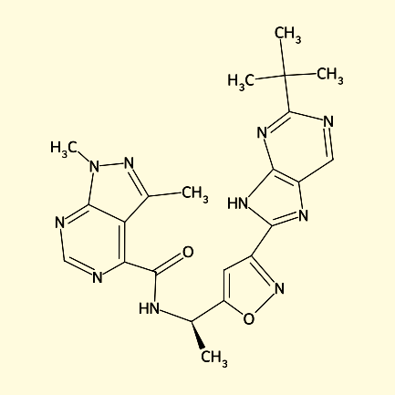 Cc1nn(C)c2ncnc(C(=O)N[C@H](C)c3cc(-c4nc5cnc(C(C)(C)C)nc5[nH]4)no3)c12